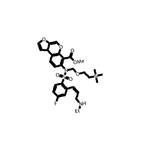 CCNC/C=C\c1cc(F)ccc1S(=O)(=O)N(COCC[Si](C)(C)C)c1ccc2c(c1C(=O)OC)OC=C1OC=CC12